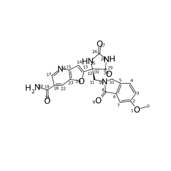 COc1ccc2c(c1)C(=O)N(C[C@@]1(c3cc4ncc(C(N)=O)cc4o3)NC(=O)NC1=O)C2